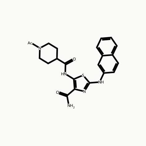 CC(=O)N1CCC(C(=O)Nc2sc(Nc3ccc4ccccc4c3)nc2C(N)=O)CC1